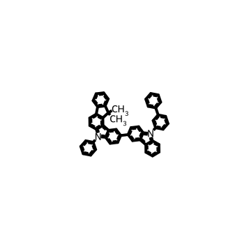 CC1(C)c2ccccc2-c2ccc3c(c21)c1cc(-c2ccc4c(c2)c2ccccc2n4-c2cccc(-c4ccccc4)c2)ccc1n3-c1ccccc1